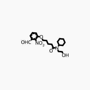 O=Cc1cccc(OCCCCC(=O)N(CCO)C2CCCCC2)c1[N+](=O)[O-]